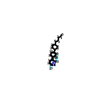 CCCCCC1CCC(c2ccc(-c3ccc(F)nc3F)c(F)c2)CC1